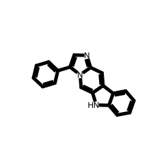 c1ccc(-c2cnc3cc4c(cn23)[nH]c2ccccc24)cc1